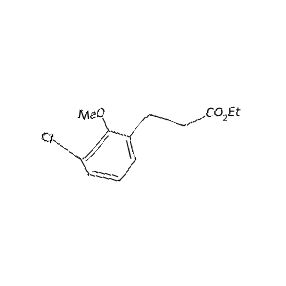 CCOC(=O)CCc1cccc(Cl)c1OC